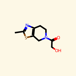 Cc1nc2c(s1)CN(C(=O)CO)CC2